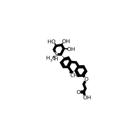 C#Cc1ccc([C@H]2[C@H](O)[C@H](O)[C@H](O)C[SH]2C)cc1Cc1ccc(OCCC(=O)O)cc1